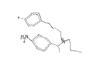 CCCN(CCCc1ccc(F)cc1)C(C)c1ccc(N)cc1